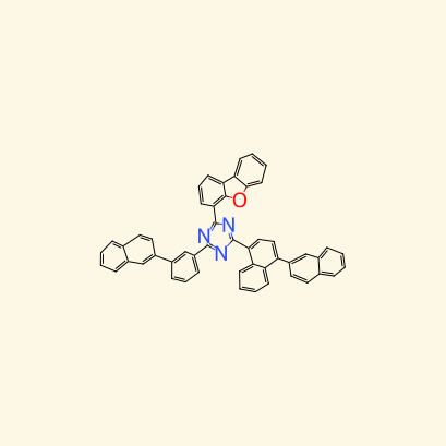 c1cc(-c2ccc3ccccc3c2)cc(-c2nc(-c3ccc(-c4ccc5ccccc5c4)c4ccccc34)nc(-c3cccc4c3oc3ccccc34)n2)c1